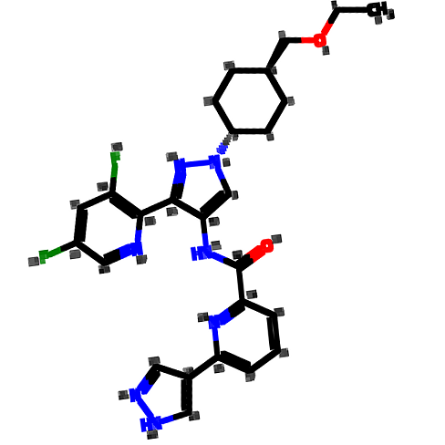 CCOC[C@H]1CC[C@H](n2cc(NC(=O)c3cccc(-c4cn[nH]c4)n3)c(-c3ncc(F)cc3F)n2)CC1